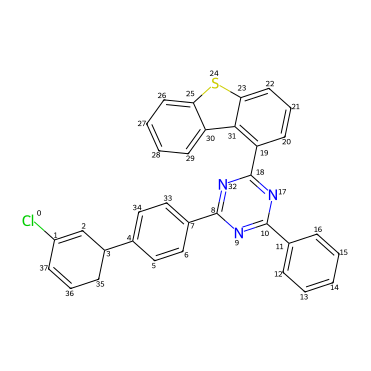 ClC1=CC(c2ccc(-c3nc(-c4ccccc4)nc(-c4cccc5sc6ccccc6c45)n3)cc2)CC=C1